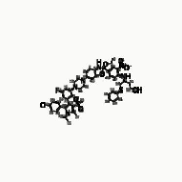 CCOP(=O)(Nc1ccc(N2CCN(c3cc(F)cc(-c4c(S(C)(=O)=O)c(C)n(C(C)C)c4-c4ccc(Cl)cc4)c3)CC2)cc1)c1ccc(NC(CCO)CSc2ccccc2)c([N+](=O)[O-])c1